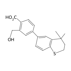 CC1(C)CCSc2ccc(-c3ccc(C(=O)O)c(CO)c3)cc21